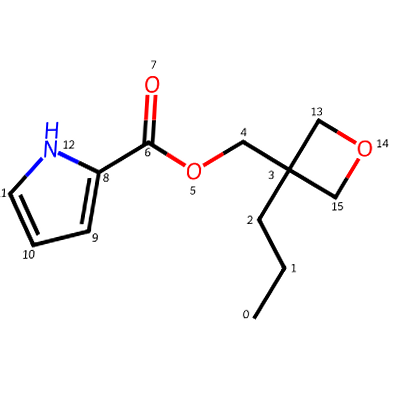 CCCC1(COC(=O)c2ccc[nH]2)COC1